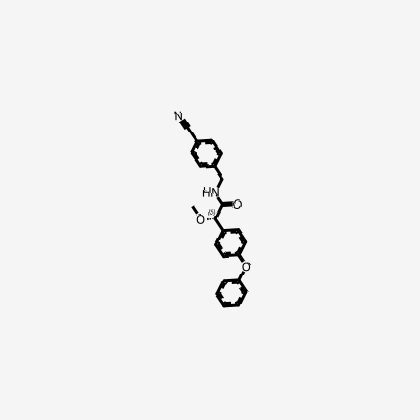 CO[C@H](C(=O)NCc1ccc(C#N)cc1)c1ccc(Oc2ccccc2)cc1